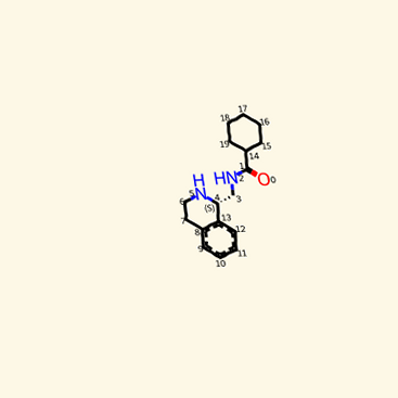 O=C(NC[C@H]1NCCc2ccccc21)C1CCCCC1